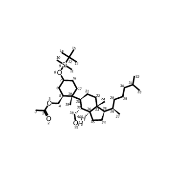 CC(=O)OC[C@H]1CC(O[Si](C)(C)C(C)(C)C)CC[C@]1(C)[C@H]1CC[C@]2(C)[C@@H]([C@H](C)CCCC(C)C)CC[C@H]2[C@@H]1CO